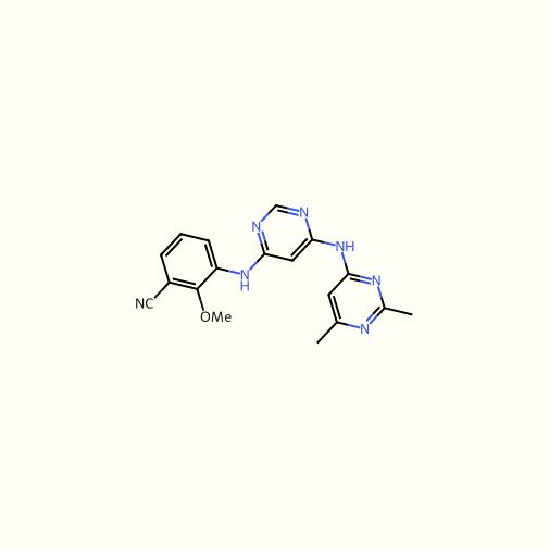 COc1c(C#N)cccc1Nc1cc(Nc2cc(C)nc(C)n2)ncn1